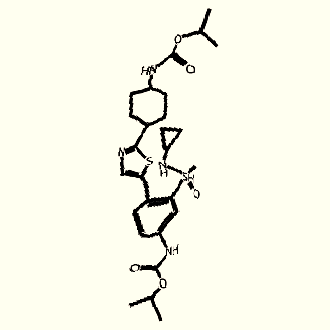 CC(C)OC(=O)Nc1ccc(-c2cnc(C3CCC(NC(=O)OC(C)C)CC3)s2)c([SH](C)(=O)NC2CC2)c1